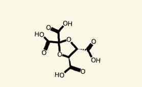 O=C(O)[C@H]1OC(C(=O)O)(C(=O)O)O[C@@H]1C(=O)O